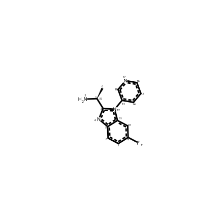 C[C@H](N)c1nc2ccc(F)cc2n1-c1cccnc1